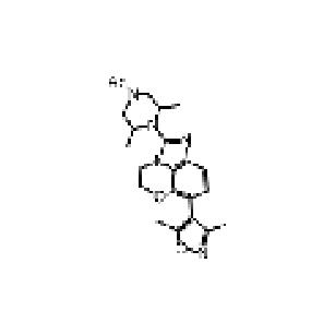 CC(=O)N1CC(C)N(c2nc3ccc(-c4c(C)noc4C)c4c3n2CCO4)C(C)C1